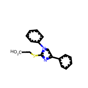 O=C(O)CSc1nc(-c2ccccc2)cn1-c1ccccc1